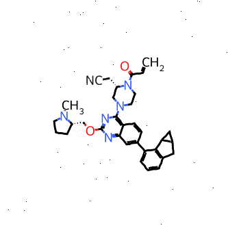 C=CC(=O)N1CCN(c2nc(OC[C@@H]3CCCN3C)nc3cc(-c4cccc5c4C4CC4C5)ccc23)C[C@@H]1CC#N